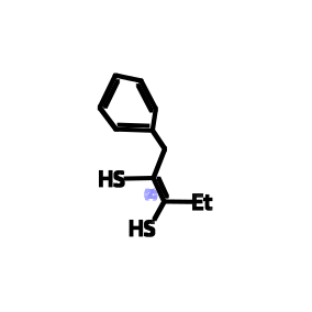 CC/C(S)=C(/S)Cc1ccccc1